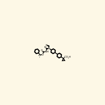 C[C@@H](OC(=O)Nc1nncn1-c1ccc(-c2ccc(C3(C(=O)O)CC3)cc2)cc1)c1ccccc1